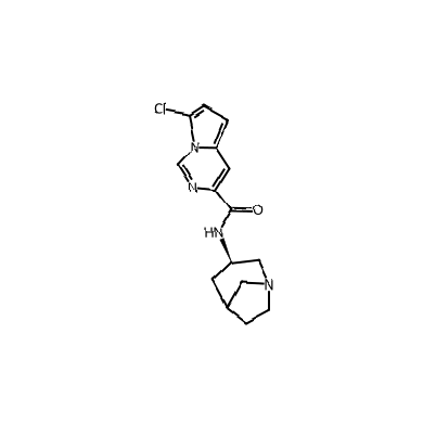 O=C(N[C@@H]1CC2CCN(C2)C1)c1cc2ccc(Cl)n2cn1